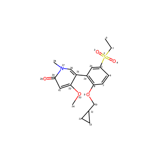 CCS(=O)(=O)c1ccc(OCC2CC2)c(-c2cn(C)c(=O)cc2OC)c1